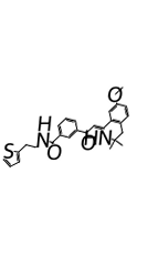 COc1ccc2c(c1)/C(=C/C(=O)c1cccc(C(=O)NCCc3cccs3)c1)NC(C)(C)C2